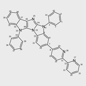 c1ccc(-n2c3cc(-c4ccc(-c5ccccn5)nc4)ccc3n3c2nc2c4ccccc4n(-c4ccccc4)c23)cc1